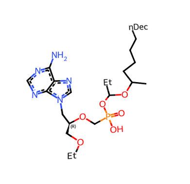 CCCCCCCCCCCCCCC(C)OC(CC)OP(=O)(O)CO[C@@H](COCC)Cn1cnc2c(N)ncnc21